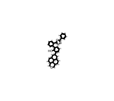 Oc1c(-c2ccccc2-c2nnc(-c3ccccc3)o2)cccc1C1CC2CCC3COCC4CCC(C1)C2C34